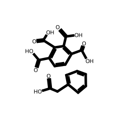 O=C(O)Cc1ccccc1.O=C(O)c1ccc(C(=O)O)c(C(=O)O)c1C(=O)O